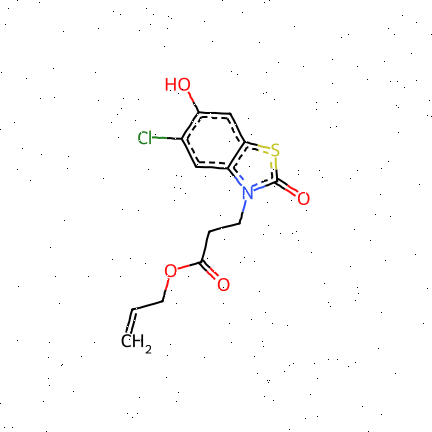 C=CCOC(=O)CCn1c(=O)sc2cc(O)c(Cl)cc21